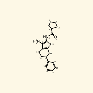 Nc1c(NC(=O)C2CCCC2)sc2c1CCC(c1ccccc1)C2